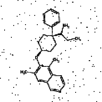 CCC(N)[C@]1(c2ccccc2)CC[C@H](Oc2c(C)cc3cnccc3c2C)CC1